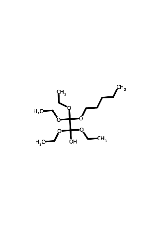 CCCCCOC(OCC)(OCC)C(O)(OCC)OCC